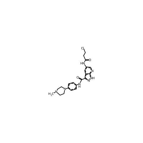 CN1CCN(c2ccc(NC(=O)c3n[nH]c4ncc(NC(=O)CCCl)cc34)cc2)CC1